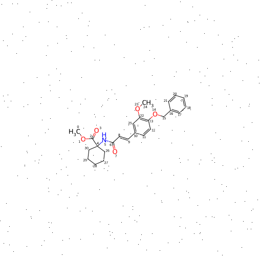 COC(=O)C1(NC(=O)/C=C/c2ccc(OCc3ccccc3)c(OC)c2)CCCCC1